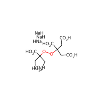 O=C(O)CC(CC(=O)O)(OOC(CC(=O)O)(CC(=O)O)C(=O)O)C(=O)O.[NaH].[NaH].[NaH]